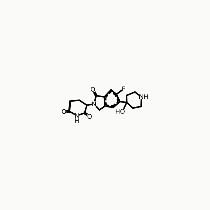 O=C1CCC(N2Cc3cc(C4(O)CCNCC4)c(F)cc3C2=O)C(=O)N1